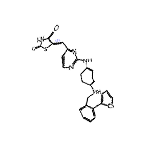 O=C1NC(=O)/C(=C/c2ccnc(N[C@H]3CC[C@H](NCc4ccccc4-c4ccco4)CC3)n2)S1